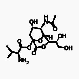 CC(=O)N[C@H]1[C@H]2O[C@@](OC(=O)[C@@H](N)C(C)C)(C[C@@H]1O)C(=O)O[C@@H]2[C@H](O)CO